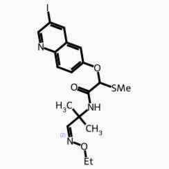 CCO/N=C\C(C)(C)NC(=O)C(Oc1ccc2ncc(I)cc2c1)SC